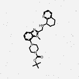 Cn1c(CNC2CCCc3cccnc32)nc2cccc(N3CCN(C(=O)OC(C)(C)C)CC3)c21